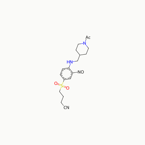 CC(=O)N1CCC(CNc2ccc(S(=O)(=O)CCCC#N)cc2N=O)CC1